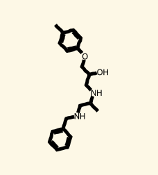 Cc1ccc(OCC(O)CNC(C)CNCc2ccccc2)cc1